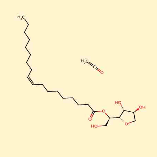 C=C=O.CCCCCCCC/C=C\CCCCCCCC(=O)O[C@H](CO)[C@H]1OC[C@H](O)[C@H]1O